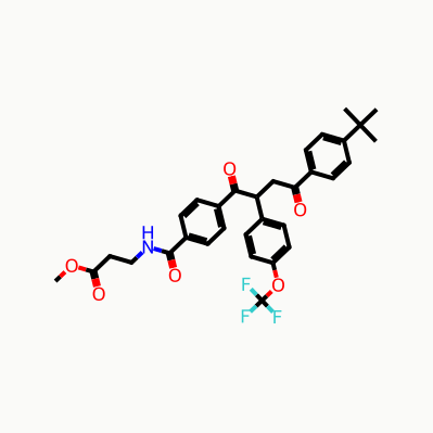 COC(=O)CCNC(=O)c1ccc(C(=O)C(CC(=O)c2ccc(C(C)(C)C)cc2)c2ccc(OC(F)(F)F)cc2)cc1